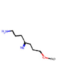 N=C(CCCN)CCCON=O